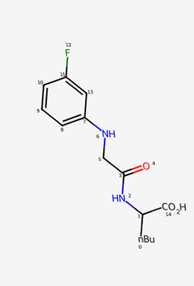 CCCCC(NC(=O)CNc1cccc(F)c1)C(=O)O